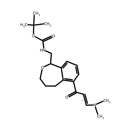 CN(C)/C=C/C(=O)c1cccc2c1CCCOC2CNC(=O)OC(C)(C)C